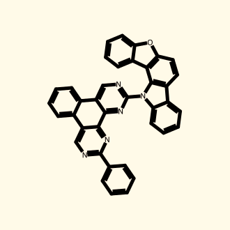 c1ccc(-c2ncc3c4ccccc4c4cnc(-n5c6ccccc6c6ccc7oc8ccccc8c7c65)nc4c3n2)cc1